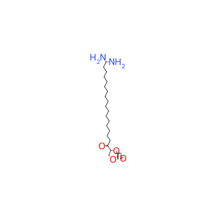 NC(N)CCCCCCCCCCCCCCCCC(=O)C1C[O][Ti](=[O])[O]1